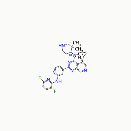 CN(c1nc(-c2ccnc(Nc3nc(F)ccc3F)c2)nc2cncc(C3CC3)c12)[C@H]1CCNCC1(C)C